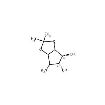 CC1(C)OC2C(N)[C@@H](O)[C@H](O)C2O1